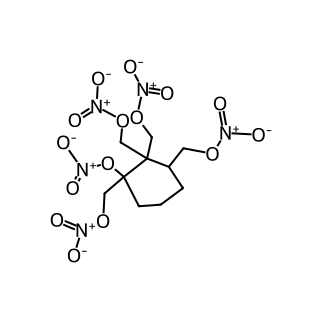 O=[N+]([O-])OCC1CCCC(CO[N+](=O)[O-])(O[N+](=O)[O-])C1(CO[N+](=O)[O-])CO[N+](=O)[O-]